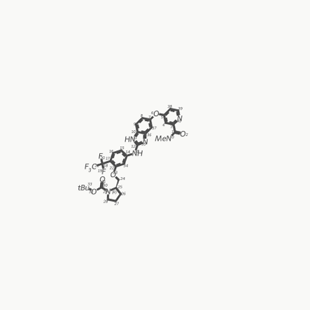 CNC(=O)c1cc(Oc2ccc3[nH]c(Nc4ccc(C(F)(F)C(F)(F)F)c(OC[C@H]5CCCN5C(=O)OC(C)(C)C)c4)nc3c2)ccn1